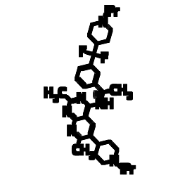 Cc1nc(N[C@H](C)c2cccc(C(F)(F)C3CCN(C(C)C)CC3)c2)c2cc(C3CCN(C(C)C)CC3)c(C)nc2n1